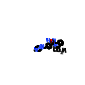 CN1CCN(N=Cc2ccc(C(=O)[N+]3(CC(=O)O)CCc4ccccc4C3N)cc2)CC1